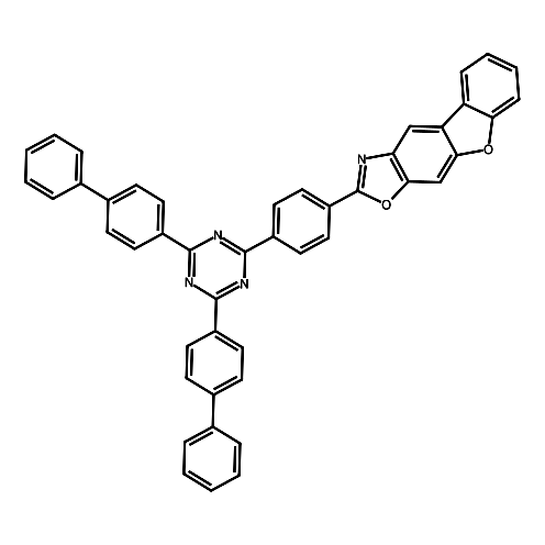 c1ccc(-c2ccc(-c3nc(-c4ccc(-c5ccccc5)cc4)nc(-c4ccc(-c5nc6cc7c(cc6o5)oc5ccccc57)cc4)n3)cc2)cc1